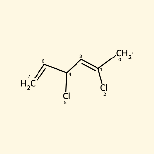 [CH2]C(Cl)=CC(Cl)C=C